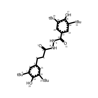 CC(C)(C)c1cc(CCC(=O)NNC(=O)c2cc(C(C)(C)C)c(O)c(C(C)(C)C)c2)cc(C(C)(C)C)c1O